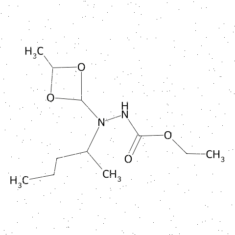 CCCC(C)N(NC(=O)OCC)C1OC(C)O1